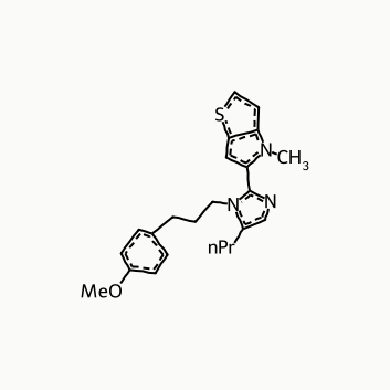 CCCc1cnc(-c2cc3sccc3n2C)n1CCCc1ccc(OC)cc1